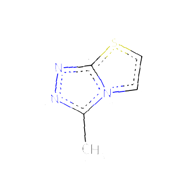 Cc1nnc2sccn12